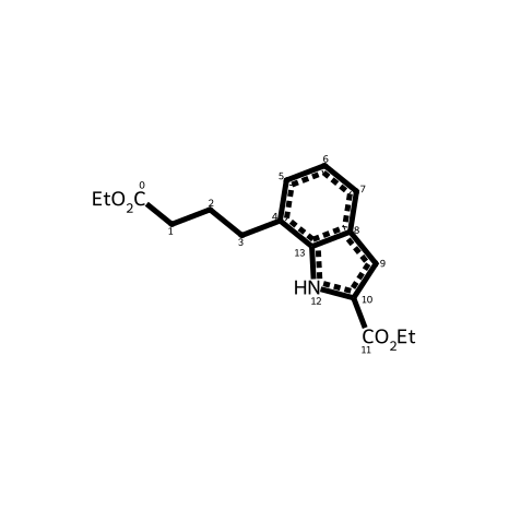 CCOC(=O)CCCc1cccc2cc(C(=O)OCC)[nH]c12